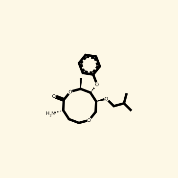 CC(C)CO[C@H]1COCC[C@H](N)C(=O)O[C@@H](C)[C@@H]1Oc1ccccc1